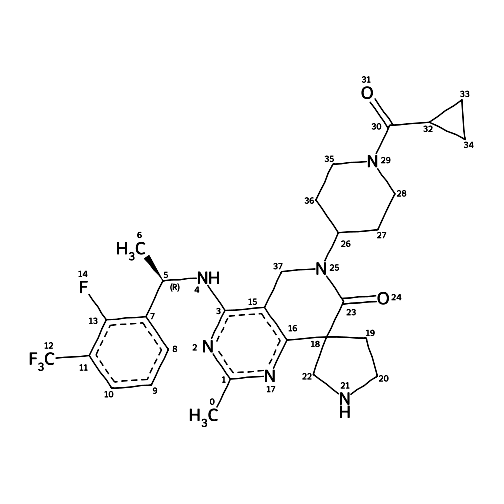 Cc1nc(N[C@H](C)c2cccc(C(F)(F)F)c2F)c2c(n1)C1(CCNC1)C(=O)N(C1CCN(C(=O)C3CC3)CC1)C2